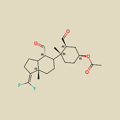 CC(=O)O[C@H]1CC[C@](C)(C2CC[C@]3(C)C(=C(F)F)CCC3[C@@H]2C=O)[C@@H](C=O)C1